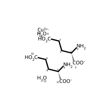 N[C@@H](CCC(=O)O)C(=O)[O-].N[C@@H](CCC(=O)O)C(=O)[O-].O.O.[Cu+2]